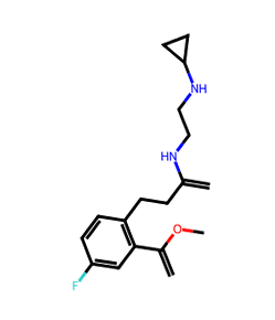 C=C(CCc1ccc(F)cc1C(=C)OC)NCCNC1CC1